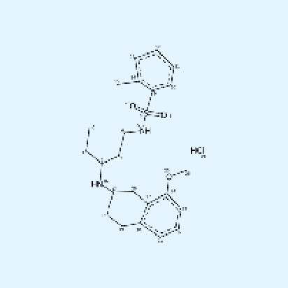 CCC(CCNS(=O)(=O)c1ccccc1C)NC1CCc2cccc(OC)c2C1.Cl